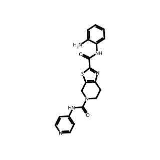 Nc1ccccc1NC(=O)c1nc2c(s1)CN(C(=O)Nc1ccncc1)CC2